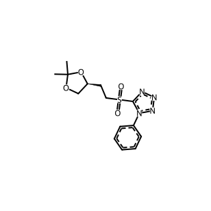 CC1(C)OC[C@H](CCS(=O)(=O)c2nnnn2-c2ccccc2)O1